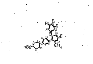 C.CCCCC1CCC(c2ccc(-c3ccc(F)c(F)c3Oc3cc(F)c(F)c(F)c3)cc2)CC1